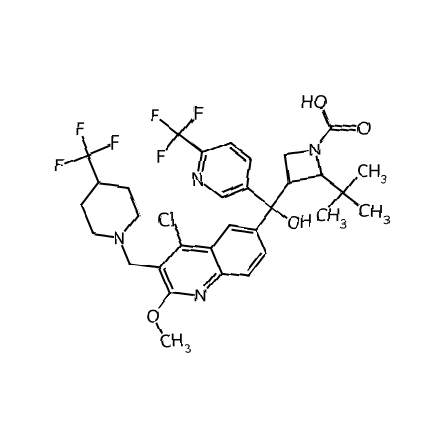 COc1nc2ccc(C(O)(c3ccc(C(F)(F)F)nc3)C3CN(C(=O)O)C3C(C)(C)C)cc2c(Cl)c1CN1CCC(C(F)(F)F)CC1